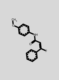 COc1ccc(NC(=O)/C=C(/F)c2ccccc2)cc1